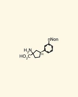 CCCCCCCCCc1cccc([C@H]2CCC(N)(C(=O)O)C2)c1